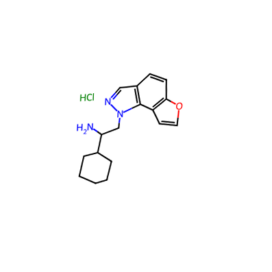 Cl.NC(Cn1ncc2ccc3occc3c21)C1CCCCC1